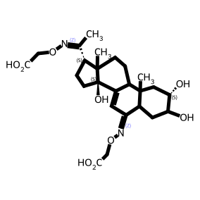 C/C(=N/OCC(=O)O)[C@H]1CC[C@@]2(O)C3=C/C(=N\OCC(=O)O)C4CC(O)[C@@H](O)CC4(C)C3CCC12C